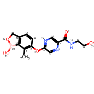 Cc1c(Oc2cnc(C(=O)NCCO)cn2)ccc2c1B(O)OC2